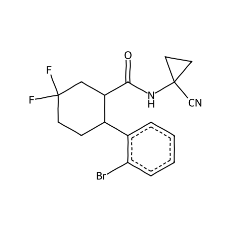 N#CC1(NC(=O)C2CC(F)(F)CCC2c2ccccc2Br)CC1